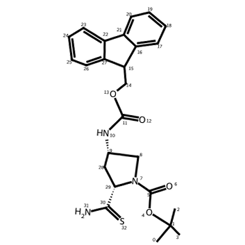 CC(C)(C)OC(=O)N1C[C@@H](NC(=O)OCC2c3ccccc3-c3ccccc32)C[C@H]1C(N)=S